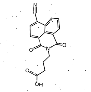 N#Cc1ccc2c3c(cccc13)C(=O)N(CCCC(=O)O)C2=O